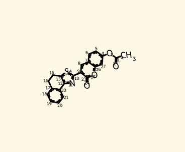 CC(=O)Oc1ccc2cc(-c3nc4c(s3)CCc3ccccc3-4)c(=O)oc2c1